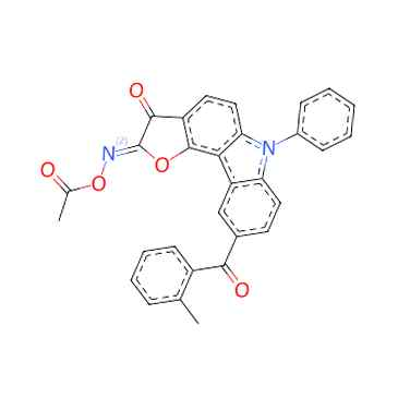 CC(=O)O/N=C1\Oc2c(ccc3c2c2cc(C(=O)c4ccccc4C)ccc2n3-c2ccccc2)C1=O